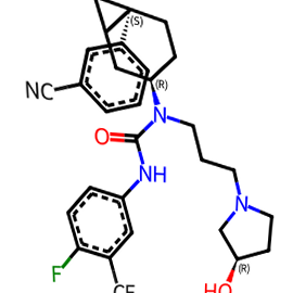 N#Cc1cccc([C@]23CC[C@@H](N(CCCN4CC[C@@H](O)C4)C(=O)Nc4ccc(F)c(C(F)(F)F)c4)CC2C3)c1